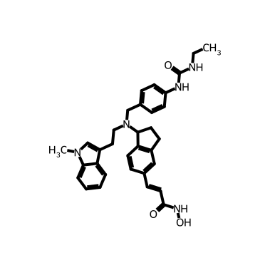 CCNC(=O)Nc1ccc(CN(CCc2cn(C)c3ccccc23)C2CCc3cc(C=CC(=O)NO)ccc32)cc1